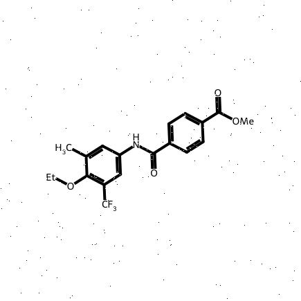 CCOc1c(C)cc(NC(=O)c2ccc(C(=O)OC)cc2)cc1C(F)(F)F